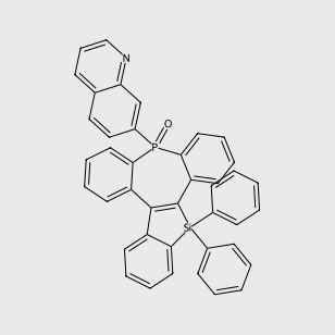 O=P1(c2ccc3cccnc3c2)c2ccccc2C2=C(c3ccccc31)[Si](c1ccccc1)(c1ccccc1)c1ccccc12